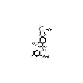 CCCCCc1cc(F)ccc1NS(=O)(=O)C1CCC2(C=C1C(=O)O)O[C@@H](CO)[C@H](CO)O2